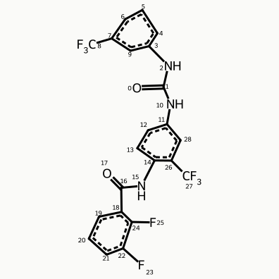 O=C(Nc1cccc(C(F)(F)F)c1)Nc1ccc(NC(=O)c2cccc(F)c2F)c(C(F)(F)F)c1